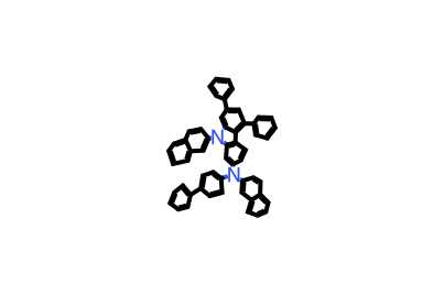 c1ccc(-c2ccc(N(c3ccc4ccccc4c3)c3ccc4c5c(-c6ccccc6)cc(-c6ccccc6)cc5n(-c5ccc6ccccc6c5)c4c3)cc2)cc1